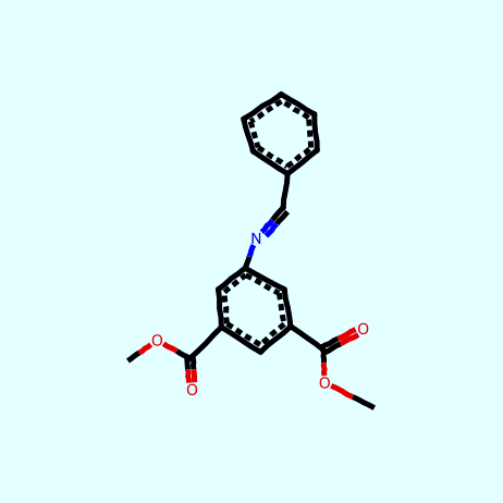 COC(=O)c1cc(/N=C/c2ccccc2)cc(C(=O)OC)c1